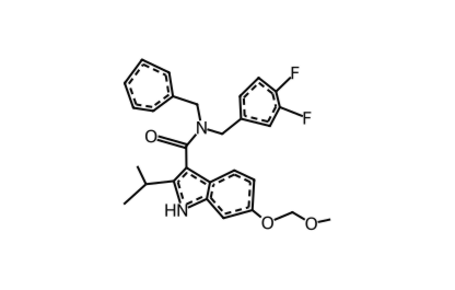 COCOc1ccc2c(C(=O)N(Cc3ccccc3)Cc3ccc(F)c(F)c3)c(C(C)C)[nH]c2c1